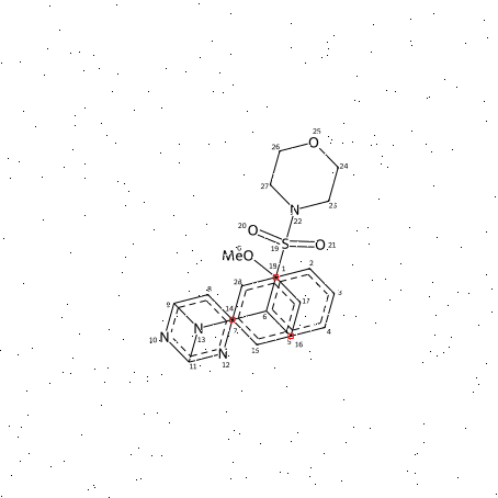 COc1ccccc1-c1cc2nc(n1)N2c1cccc(S(=O)(=O)N2CCOCC2)c1